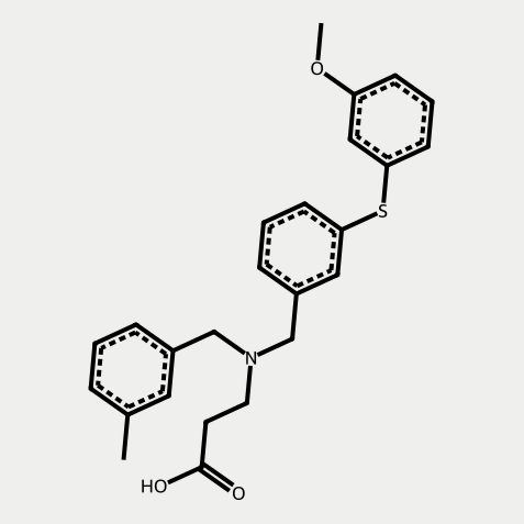 COc1cccc(Sc2cccc(CN(CCC(=O)O)Cc3cccc(C)c3)c2)c1